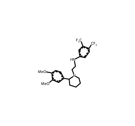 COc1ccc(C2CCCCN2CCNc2ccc(C(F)(F)F)c(C(F)(F)F)c2)cc1OC